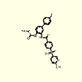 CC(C)(C)OC(=O)Nc1ccc(-c2ccc(F)cc2)cc1NC(=O)c1ccc(S(=N)(=O)c2ccc(C#N)nc2)cc1